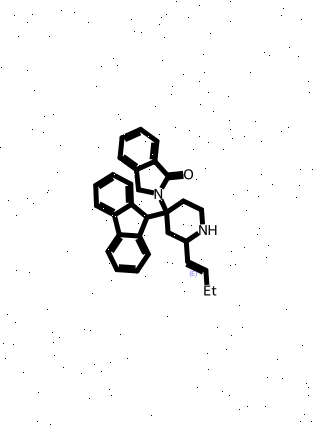 CC/C=C/C1CC(C2c3ccccc3-c3ccccc32)(N2Cc3ccccc3C2=O)CCN1